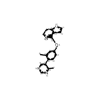 Cc1cc(Oc2nccc3occc23)ccc1-c1cncnc1C